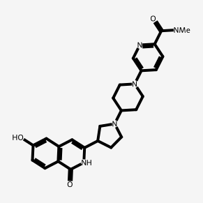 CNC(=O)c1ccc(N2CCC(N3CCC(c4cc5cc(O)ccc5c(=O)[nH]4)C3)CC2)cn1